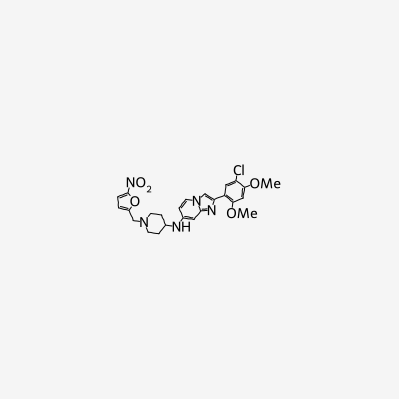 COc1cc(OC)c(-c2cn3ccc(NC4CCN(Cc5ccc([N+](=O)[O-])o5)CC4)cc3n2)cc1Cl